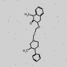 CC1CN(CCCOC2Cc3ccccc3N(C)C2=O)CCN1c1ccccc1